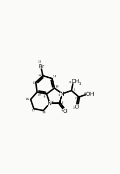 CC(C(=O)O)n1c(=O)n2c3c(cc(Br)cc31)CCC2